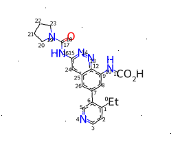 CCc1ccncc1-c1cc(NC(=O)O)c2nnc(NC(=O)N3CCCC3)cc2c1